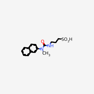 CN(C(=O)NCCCS(=O)(=O)O)c1ccc2ccccc2c1